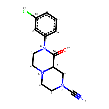 N#CN1CCN2CCN(c3cccc(Cl)c3)C(=O)C2C1